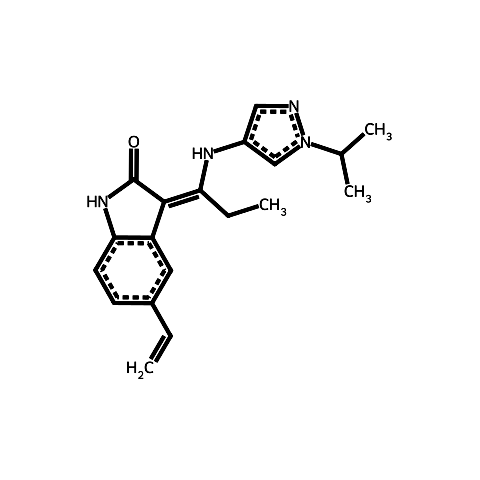 C=Cc1ccc2c(c1)/C(=C(\CC)Nc1cnn(C(C)C)c1)C(=O)N2